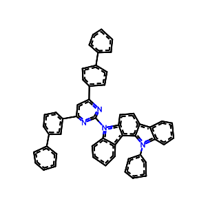 c1ccc(-c2ccc(-c3cc(-c4cccc(-c5ccccc5)c4)nc(-n4c5ccccc5c5c4ccc4c6ccccc6n(-c6ccccc6)c45)n3)cc2)cc1